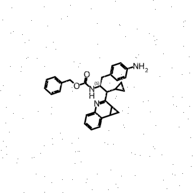 Nc1ccc(C[C@H](NC(=O)OCc2ccccc2)C(C2=Nc3ccccc3C3CC23)C2CC2)cc1